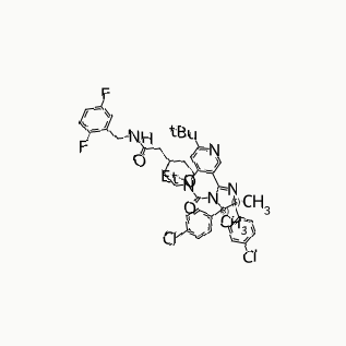 CCOc1cc(C(C)(C)C)ncc1C1=N[C@@](C)(c2ccc(Cl)cc2)[C@@](C)(c2ccc(Cl)cc2)N1C(=O)N1CCC(CC(=O)NCc2cc(F)ccc2F)CC1